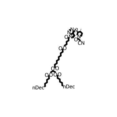 CCCCCCCCCCCCCCCC(=O)OCC(COC(=O)CCCCCCCCCCCCCCC)OC(=O)CCCCCCCCC(=O)OCCCCC(=O)n1ccc2c(N(C)[C@H]3CN(C(=O)CC#N)CC[C@H]3C)ncnc21